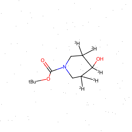 [2H]C1([2H])CN(C(=O)OC(C)(C)C)CC([2H])([2H])C1([2H])O